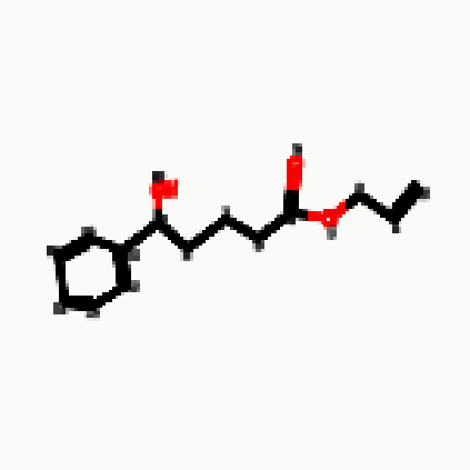 C=CCOC(=O)CCCC(O)c1ccccc1